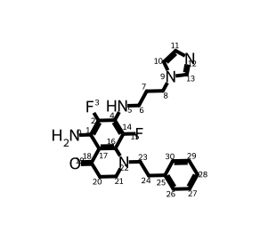 Nc1c(F)c(NCCCn2ccnc2)c(F)c2c1C(=O)CCN2CCc1ccccc1